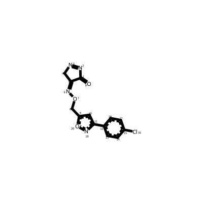 O=C1N=NCC1=NOCc1cc(-c2ccc(Cl)cc2)no1